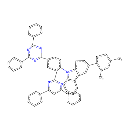 FC(F)(F)c1ccc(-c2ccc3c(c2)c2ccccc2n3-c2ccc(-c3nc(-c4ccccc4)nc(-c4ccccc4)n3)cc2-c2nc(-c3ccccc3)cc(-c3ccccc3)n2)c(C(F)(F)F)c1